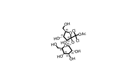 CC(=O)OC(Cl)(Cl)[C@@]1(O[C@H]2O[C@H](CO)[C@@H](O)[C@H](O)[C@H]2O)O[C@H](CO)[C@@H](O)[C@@H]1O